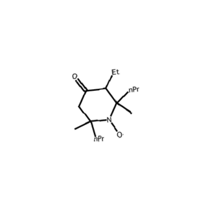 CCCC1(C)CC(=O)C(CC)C(C)(CCC)N1[O]